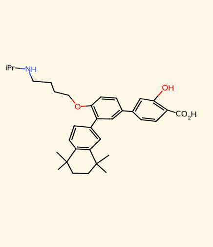 CC(C)NCCCCOc1ccc(-c2ccc(C(=O)O)c(O)c2)cc1-c1ccc2c(c1)C(C)(C)CCC2(C)C